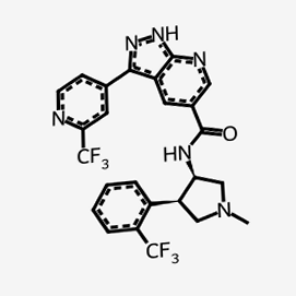 CN1C[C@H](NC(=O)c2cnc3[nH]nc(-c4ccnc(C(F)(F)F)c4)c3c2)[C@H](c2ccccc2C(F)(F)F)C1